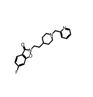 O=c1c2ccc(F)cc2on1CCC1CCN(Cc2ccccn2)CC1